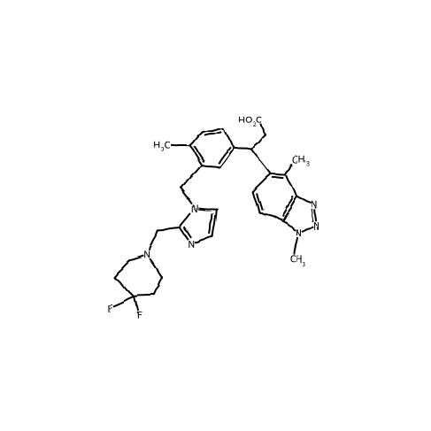 Cc1ccc(C(CC(=O)O)c2ccc3c(nnn3C)c2C)cc1Cn1ccnc1CN1CCC(F)(F)CC1